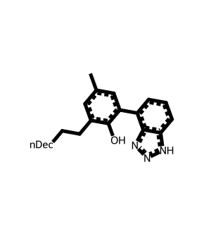 CCCCCCCCCCCCc1cc(C)cc(-c2cccc3[nH]nnc23)c1O